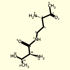 CC(=O)[C@@H](N)CCNC(=O)[C@@H](N)[C@@H](C)O